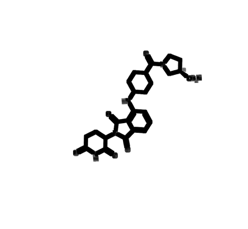 O=C1CCC(N2C(=O)c3cccc(NC4CCC(C(=O)N5CC[C@@H](C(=O)O)C5)CC4)c3C2=O)C(=O)N1